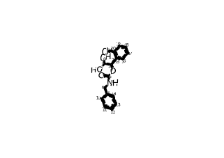 CC(O)C(OC(=O)NCc1ccccc1)c1ccccc1Cl